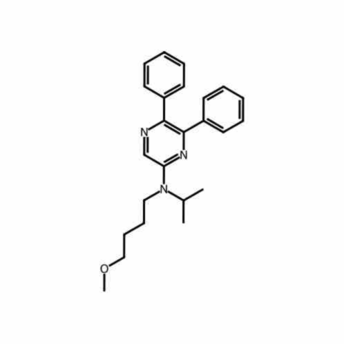 COCCCCN(c1cnc(-c2ccccc2)c(-c2ccccc2)n1)C(C)C